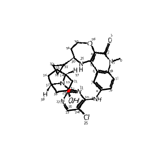 Cn1c(=O)c2c(c3cc(Nc4nc(N5[C@@H]6CC[C@H]5C[C@H](O)C6)ncc4Cl)ccc31)N[C@@H](C1CC1)CCO2